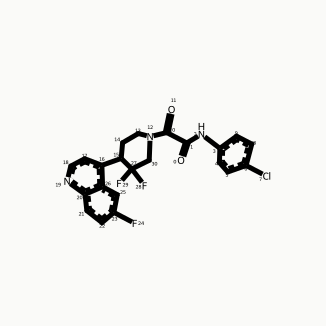 O=C(Nc1ccc(Cl)cc1)C(=O)N1CCC(c2ccnc3ccc(F)cc23)C(F)(F)C1